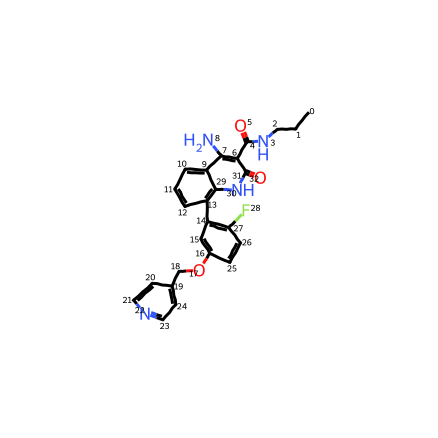 CCCNC(=O)c1c(N)c2cccc(-c3cc(OCc4ccncc4)ccc3F)c2[nH]c1=O